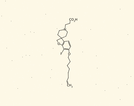 C=CCCCCCCOc1ccc2c(c1F)OCC21CCN(CCC(=O)O)CC1